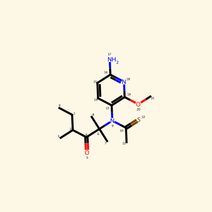 CCC(C)C(=O)C(C)(C)N(C(C)=S)c1ccc(N)nc1OC